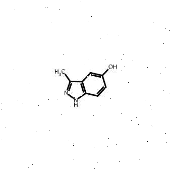 Cc1n[nH]c2ccc(O)cc12